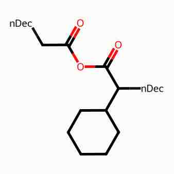 CCCCCCCCCCCC(=O)OC(=O)C(CCCCCCCCCC)C1CCCCC1